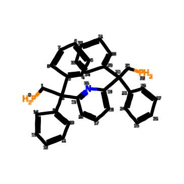 PCC(c1ccccc1)(c1ccccc1)c1cccc(C(CP)(c2ccccc2)c2ccccc2)n1